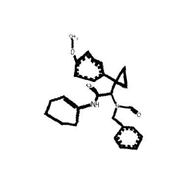 COc1ccc(C2(C(C(=O)NC3=CCCCC3)N(C=O)Cc3ccccc3)CC2)cc1